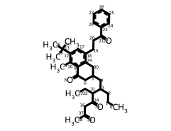 CCCC(CC1CC(=O)c2c(C)c(C(C)(C)C)cc(CCC(=O)c3ccccc3)c2C1)C(CC)C(=O)CC(C)=O